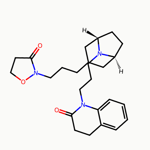 O=C1CCON1CCCC1C[C@@H]2CC[C@@H](C1)N2CCCN1C(=O)CCc2ccccc21